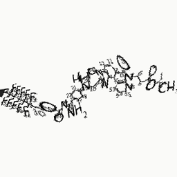 CCOC(=O)CCN(C(=O)c1ccc2c(c1)nc(CNc1ccc(/C(N)=N/C(=O)OCC(F)(F)C(F)(F)C(F)(F)C(F)(F)C(F)(F)F)cc1)n2C)c1ccccn1